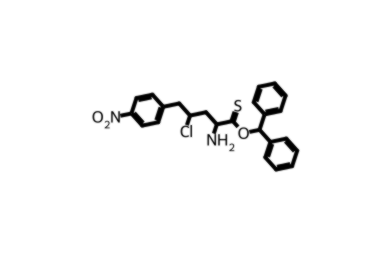 NC(CC(Cl)Cc1ccc([N+](=O)[O-])cc1)C(=S)OC(c1ccccc1)c1ccccc1